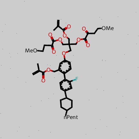 C=C(C)C(=O)OCc1cc(OCC(COC(=O)C(=C)C)(COC(=O)C(=O)CCOC)COC(=O)C(=O)CCOC)ccc1-c1ccc(C2CCC(CCCCC)CC2)cc1F